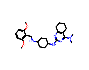 COc1cccc(OC)c1CNC1CCC(Nc2nc3c(c(N(C)C)n2)CCCC3)CC1